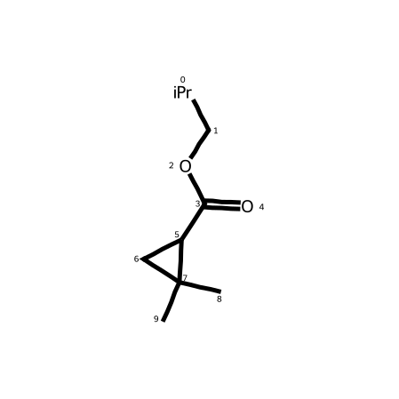 CC(C)COC(=O)C1CC1(C)C